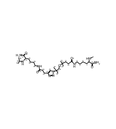 CNC(CCCCNC(=O)CCC(C)(C)OCC(C)(C)n1cc(CCC(=O)NCCCCC(NC(C)C)C(N)=O)nn1)C(N)=O